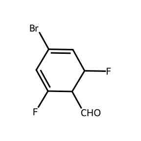 O=CC1C(F)=CC(Br)=CC1F